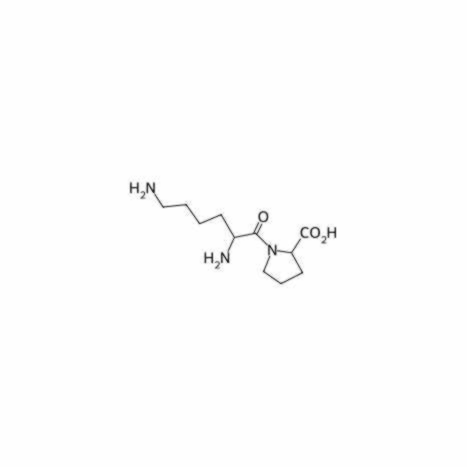 NCCCCC(N)C(=O)N1CCCC1C(=O)O